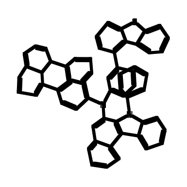 C1=CC2=CC=CC(c3ccccc3)C2C(c2ccc(N(c3cccc(-c4cccc5sc6ccccc6c45)c3)c3cc4ccccc4c4c5ccccc5n(-c5ccccc5)c34)cc2)=C1